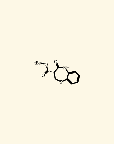 CC(C)(C)OC(=O)[C@H]1CSc2ccccc2NC1=O